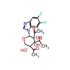 CC(=O)[C@@]1(O)[C@@](O)(C(C)=O)CO[C@@H](n2cnc3cc(F)c(F)c(F)c32)[C@@]1(O)C(C)=O